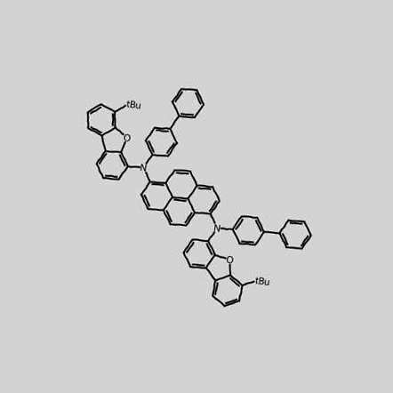 CC(C)(C)c1cccc2c1oc1c(N(c3ccc(-c4ccccc4)cc3)c3ccc4ccc5c(N(c6ccc(-c7ccccc7)cc6)c6cccc7c6oc6c(C(C)(C)C)cccc67)ccc6ccc3c4c65)cccc12